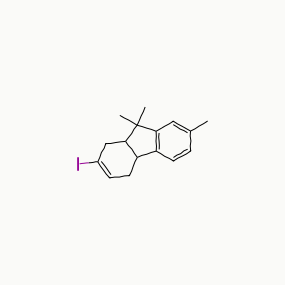 Cc1ccc2c(c1)C(C)(C)C1CC(I)=CCC21